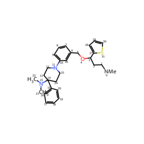 CNCCC(OCc1cccc(N2CCC(c3ccccc3)(N(C)C)CC2)c1)c1cccs1